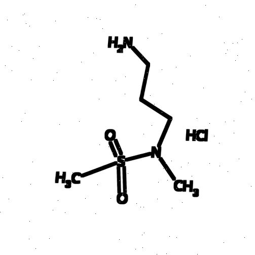 CN(CCCN)S(C)(=O)=O.Cl